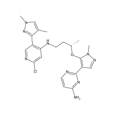 Cc1cn(C)nc1-c1cnc(Cl)cc1NCC[C@H](C)Oc1c(-c2nccc(N)n2)cnn1C